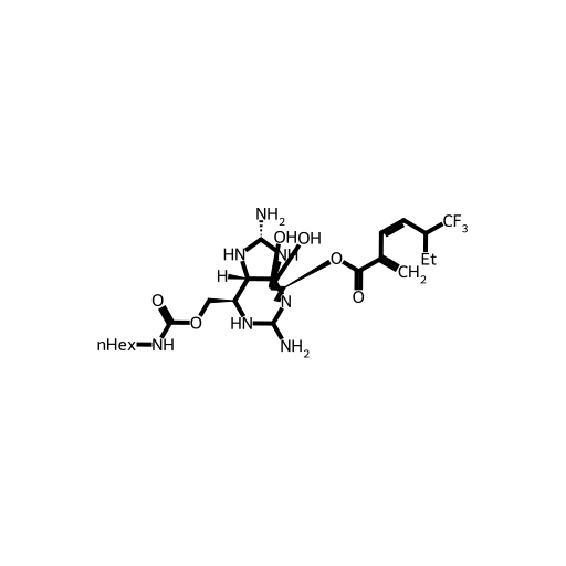 C=C(/C=C\C(CC)C(F)(F)F)C(=O)O[C@H]1CN2C(N)N[C@@H](COC(=O)NCCCCCC)[C@@H]3N[C@H](N)NC32C1(O)O